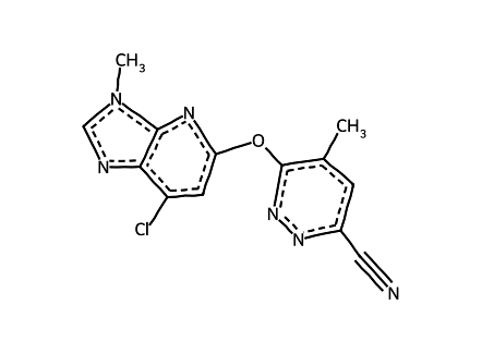 Cc1cc(C#N)nnc1Oc1cc(Cl)c2ncn(C)c2n1